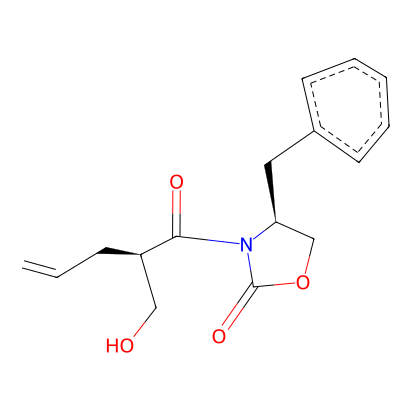 C=CC[C@H](CO)C(=O)N1C(=O)OC[C@@H]1Cc1ccccc1